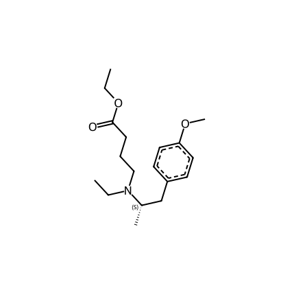 CCOC(=O)CCCN(CC)[C@@H](C)Cc1ccc(OC)cc1